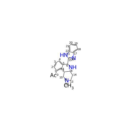 CC(=O)c1cccc(C(NC2CCN(C)CC2)c2nc3ccccc3[nH]2)c1